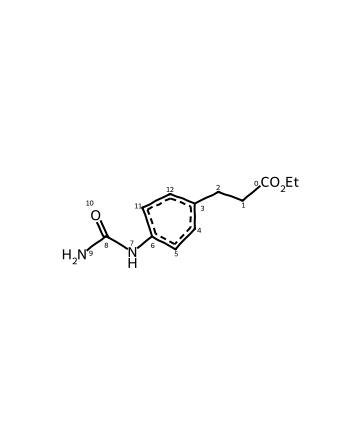 CCOC(=O)CCc1ccc(NC(N)=O)cc1